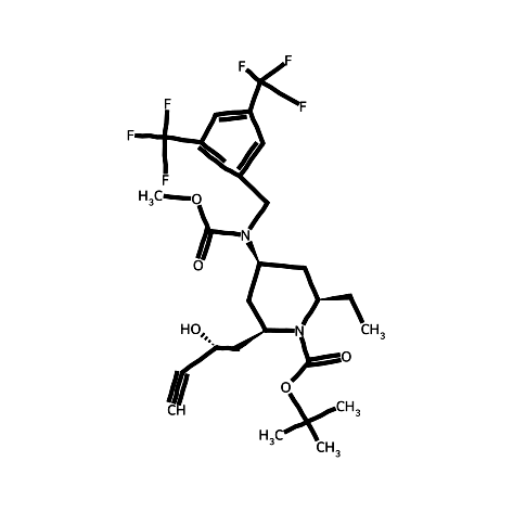 C#C[C@H](O)C[C@H]1C[C@@H](N(Cc2cc(C(F)(F)F)cc(C(F)(F)F)c2)C(=O)OC)C[C@@H](CC)N1C(=O)OC(C)(C)C